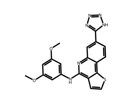 COc1cc(Nc2nc3cc(-c4nnn[nH]4)ccc3c3sccc23)cc(OC)c1